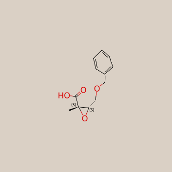 C[C@]1(C(=O)O)O[C@H]1COCc1ccccc1